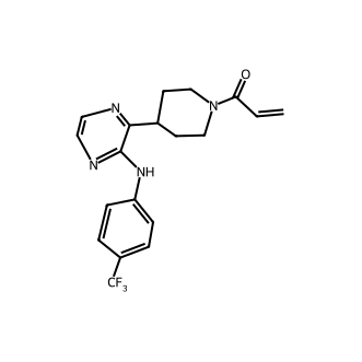 C=CC(=O)N1CCC(c2nccnc2Nc2ccc(C(F)(F)F)cc2)CC1